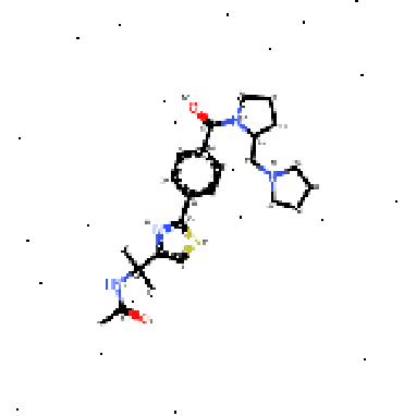 CC(=O)NC(C)(C)c1csc(-c2ccc(C(=O)N3CCCC3CN3CCCC3)cc2)n1